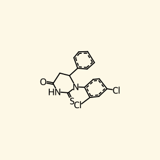 O=C1CC(c2ccccc2)N(c2ccc(Cl)cc2Cl)C(=S)N1